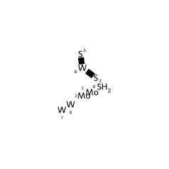 S.[Mo].[Mo].[S]=[W]=[S].[W].[W]